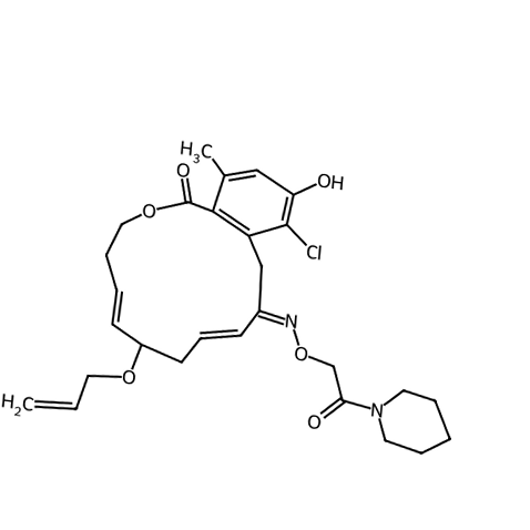 C=CCOC1/C=C/CCOC(=O)c2c(C)cc(O)c(Cl)c2CC(=N/OCC(=O)N2CCCCC2)/C=C/C1